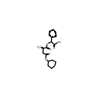 C=C(CC(=O)OC1CCCCC1)C(=O)OC(C(=O)O)c1ccccc1